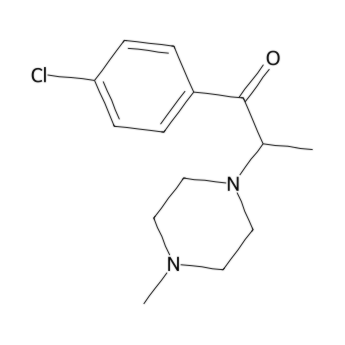 CC(C(=O)c1ccc(Cl)cc1)N1CCN(C)CC1